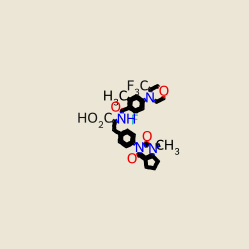 Cc1cc(N2CCOCC2C(F)(F)F)cc(F)c1C(=O)NC(Cc1ccc(-n2c(=O)c3c(n(C)c2=O)CCC3)cc1)C(=O)O